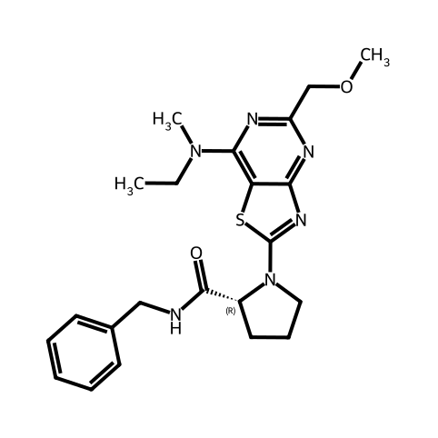 CCN(C)c1nc(COC)nc2nc(N3CCC[C@@H]3C(=O)NCc3ccccc3)sc12